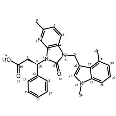 Cc1ccc2c(n1)n([C@H](CC(=O)O)c1ccccc1)c(=O)n2Cc1cn(C)c2cccc(C)c12